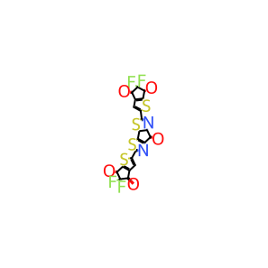 O=C1c2nc(-c3cc4c(s3)C(=O)C(F)(F)C4=O)sc2C2SC(c3cc4c(s3)C(=O)C(F)(F)C4=O)=NC12